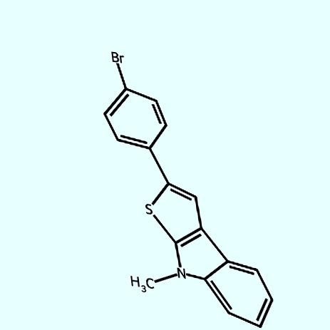 Cn1c2ccccc2c2cc(-c3ccc(Br)cc3)sc21